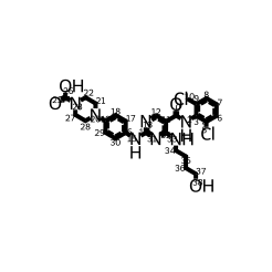 O=C(Nc1c(Cl)cccc1Cl)c1cnc(Nc2ccc(N3CCN(C(=O)O)CC3)cc2)nc1NCCCCO